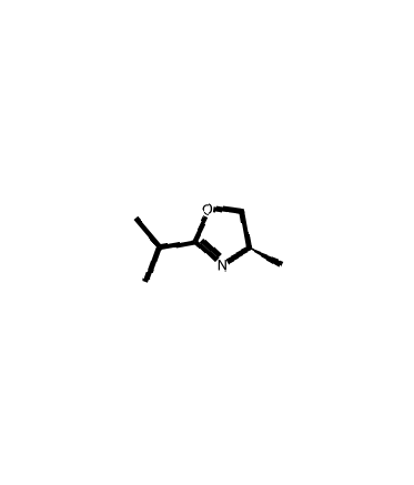 CC(C)C1=N[C@H](C)CO1